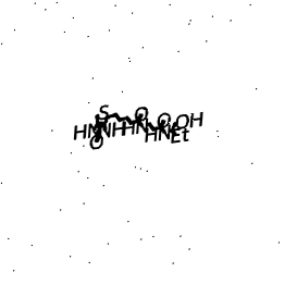 CCC(CO)NC(=O)CCNC(=O)CCCCC1SCC2NC(=O)NC21